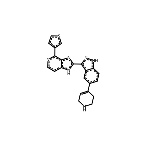 C1=C(c2ccc3[nH]nc(-c4nc5c(-c6ccsc6)nccc5[nH]4)c3c2)CCNC1